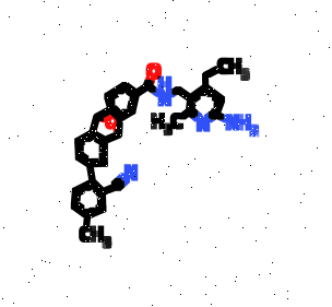 CCc1cc(N)nc(C)c1CNC(=O)c1ccc2c(c1)C1OC2c2ccc(-c3ccc(C)cc3C#N)cc21